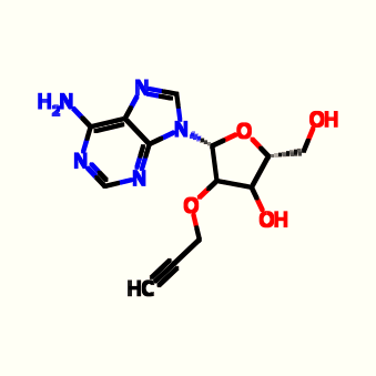 C#CCOC1C(O)[C@@H](CO)O[C@H]1n1cnc2c(N)ncnc21